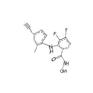 C#Cc1ccc(Nc2c(C(=O)NO)ccc(F)c2F)c(C)c1